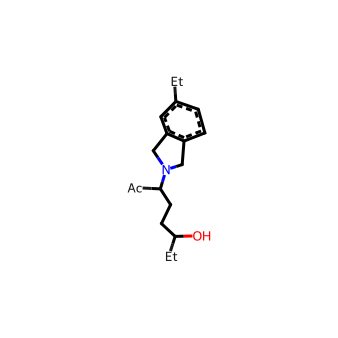 CCc1ccc2c(c1)CN(C(CCC(O)CC)C(C)=O)C2